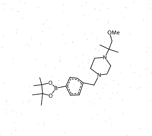 COCC(C)(C)N1CCN(Cc2ccc(B3OC(C)(C)C(C)(C)O3)cc2)CC1